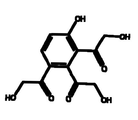 O=C(CO)c1ccc(O)c(C(=O)CO)c1C(=O)CO